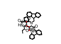 CC[C@H](C)[C@@H]1NC(=O)c2ccccc2/C1=C/C(=O)Nc1ccccc1-c1ccccc1NC(=O)[C@H]([C@@H](C)CC)N(CC1c2ccccc2-c2ccccc21)C(=O)O